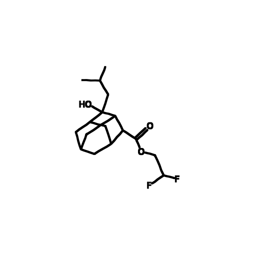 CC(C)CC1(O)C2CC3CC(C2)C(C(=O)OCC(F)F)C1C3